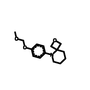 COCOc1ccc(N2CCCCC23COC3)cc1